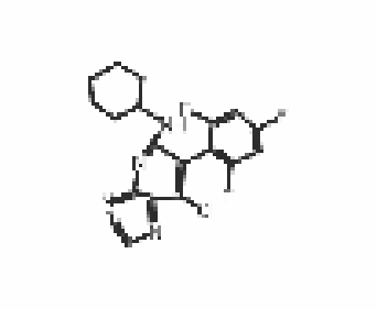 Fc1cc(F)c(-c2c(NC3CCCCC3)nc3nccnc3c2Cl)c(F)c1